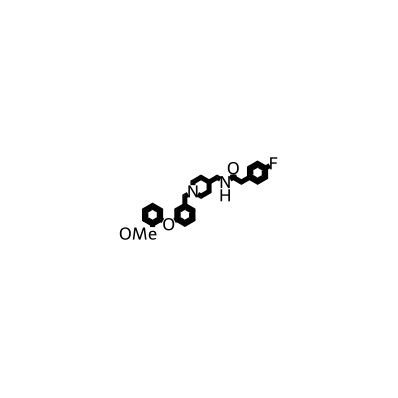 COc1ccccc1Oc1cccc(CN2CCC(CNC(=O)Cc3ccc(F)cc3)CC2)c1